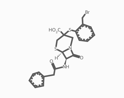 O=C(Cc1ccccc1)N[C@@H]1C(=O)N2CC(Sc3ccccc3CBr)(C(=O)O)CS[C@H]12